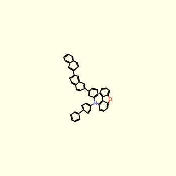 c1ccc(-c2ccc(N(c3cccc(-c4ccc5ccc(-c6ccc7ccccc7c6)cc5c4)c3)c3cccc4oc5ccccc5c34)cc2)cc1